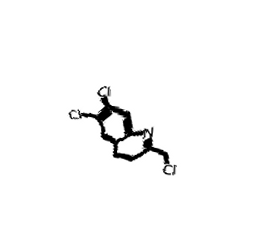 ClCc1ccc2cc(Cl)c(Cl)cc2n1